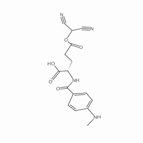 CNc1ccc(C(=O)N[C@@H](CCC(=O)OC(C#N)C#N)C(=O)O)cc1